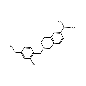 CC(=O)NC(C)c1ccc2c(c1)CCN(Cc1ccc(OC(C)C)cc1Br)C2